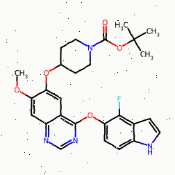 COc1cc2ncnc(Oc3ccc4[nH]ccc4c3F)c2cc1OC1CCN(C(=O)OC(C)(C)C)CC1